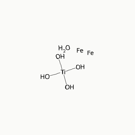 O.[Fe].[Fe].[OH][Ti]([OH])([OH])[OH]